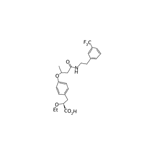 CCO[C@@H](Cc1ccc(OC(C)CC(=O)NCCc2cccc(C(F)(F)F)c2)cc1)C(=O)O